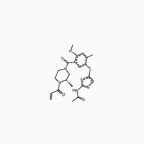 C=CC(=O)N1CCN(C(=O)c2cc(Sc3cnc(NC(C)=O)s3)c(C)cc2OC)C[C@H]1C